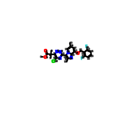 COC(=O)C(C)(C)c1nnc(-c2c(C)nc3c(OCc4c(F)cccc4F)cc(C)cn23)nc1Cl